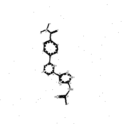 C=C(c1ccc(-c2cncc(-c3nnc(NC(C)=O)o3)n2)cc1)N(C)C